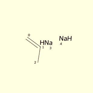 C=CC.[NaH].[NaH]